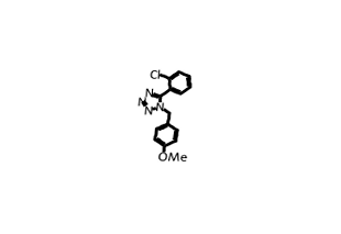 COc1ccc(Cn2nnnc2-c2ccccc2Cl)cc1